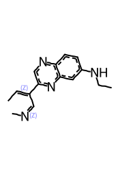 C/C=C(\C=N/C)c1cnc2ccc(NCC)cc2n1